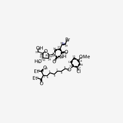 CCC(=O)C(CCCCCCOc1ccc(OC)cc1Cl)C(=O)CC.O=c1[nH]c(=O)n([C@H]2C[C@H](O)[C@@H](CO)O2)cc1/C=C/Br